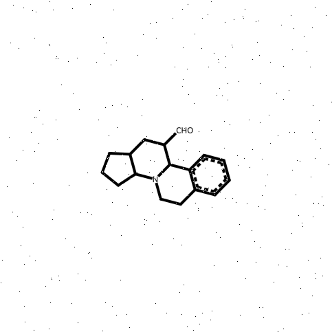 O=CC1CC2CCCC2N2CCc3ccccc3C12